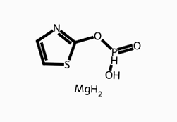 O=[PH](O)Oc1nccs1.[MgH2]